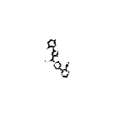 CC(c1cc(-c2cc(Cl)ccc2F)on1)N1CCN(c2nccnc2C#N)CC1